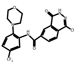 O=C(Nc1cc(C(F)(F)F)ccc1N1CCOCC1)c1ccc2c(Cl)n[nH]c(=O)c2c1